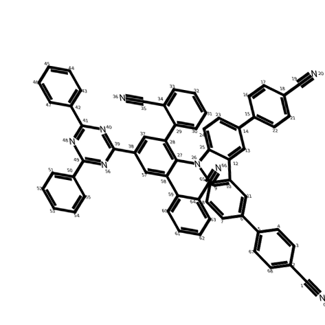 N#Cc1ccc(-c2ccc3c(c2)c2cc(-c4ccc(C#N)cc4)ccc2n3-c2c(-c3ccccc3C#N)cc(-c3nc(-c4ccccc4)nc(-c4ccccc4)n3)cc2-c2ccccc2C#N)cc1